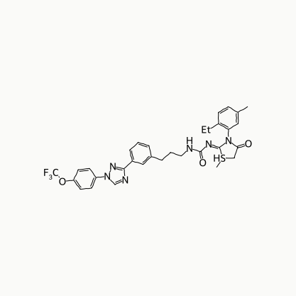 CCc1ccc(C)cc1N1C(=O)C[SH](C)/C1=N\C(=O)NCCCc1cccc(-c2ncn(-c3ccc(OC(F)(F)F)cc3)n2)c1